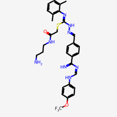 Cc1cccc(C)c1/N=C(/N/N=C/c1ccc(C(=N)/N=C\Nc2ccc(OC(F)(F)F)cc2)cc1)SCC(=O)NCCCN